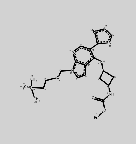 CC(C)(C)OC(=O)N[C@H]1C[C@@H](Nc2c(-c3nncs3)cnc3c2ccn3COCC[Si](C)(C)C)C1